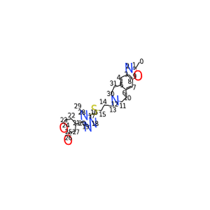 Cc1nc2cc3c(cc2o1)CCN(CCCSc1nnc(C2CCOC(=O)C2)n1C)CC3